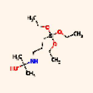 CCO[Si](CCCNC(C)(C)O)(OCC)OCC